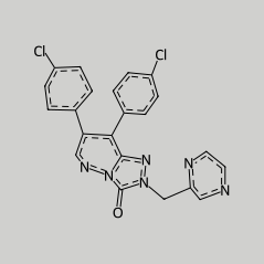 O=c1n(Cc2cnccn2)nc2c(-c3ccc(Cl)cc3)c(-c3ccc(Cl)cc3)cnn12